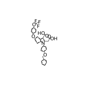 O=C(O)Cc1c(C(=O)O)c2cc(Oc3ccc(OC(F)(F)F)cc3)ccc2n1-c1ccc(OCc2ccccc2)cc1